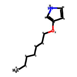 CCCCCCCOc1cc[nH]c1